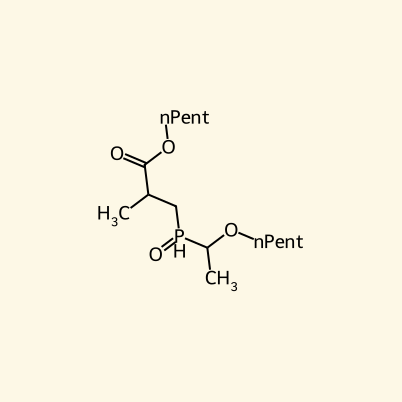 CCCCCOC(=O)C(C)C[PH](=O)C(C)OCCCCC